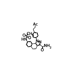 CC(=O)CCc1ccc(-n2nc(C(N)=O)c3c2-c2cc(NS(C)(=O)=O)ccc2CC3)cc1